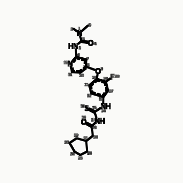 CN(C)C(=O)Nc1cc(Oc2ccc(NC(=S)NC(=O)CC3CCCCC3)cc2F)ccn1